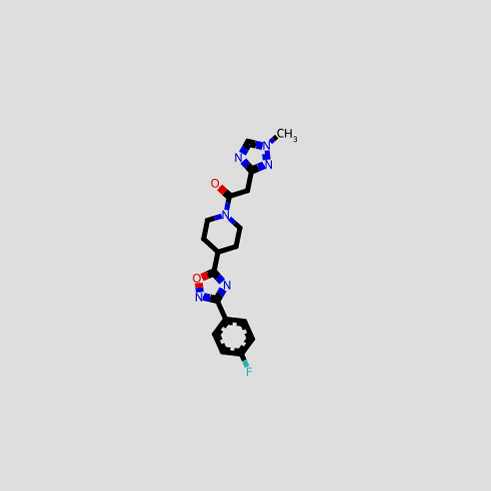 Cn1cnc(CC(=O)N2CCC(c3nc(-c4ccc(F)cc4)no3)CC2)n1